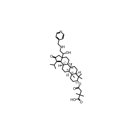 CC(C)C1=C2[C@H]3CC[C@@H]4[C@@]5(C)CC[C@H](OC(=O)CC(C)(C)C(=O)O)C(C)(C)[C@@H]5CC[C@@]4(C)[C@]3(C)CCC2(C(O)CNCc2ccncc2)CC1=O